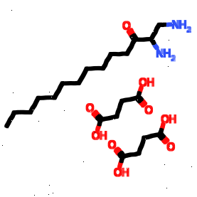 CCCCCCCCCCCC(=O)C(N)CN.O=C(O)CCC(=O)O.O=C(O)CCC(=O)O